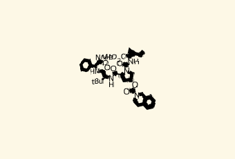 C=CC1CC1(NC(=O)N1C[C@@H](OC(=O)N2CCc3ccccc3C2)C[C@H]1C(=O)N[C@H](C(=O)N[C@H](C(=O)NC)C1CCCCC1)C(C)(C)C)C(=O)O